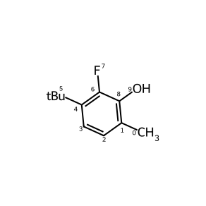 Cc1ccc(C(C)(C)C)c(F)c1O